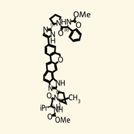 COC(=O)N[C@H](C(=O)N1[C@H](c2nc3ccc4cc5c(cc4c3[nH]2)OCc2cc(-c3cnc([C@@H]4CCCN4C(=O)[C@H](NC(=O)OC)c4ccccc4)[nH]3)ccc2-5)CC2(C)C[C@@H]12)C(C)C